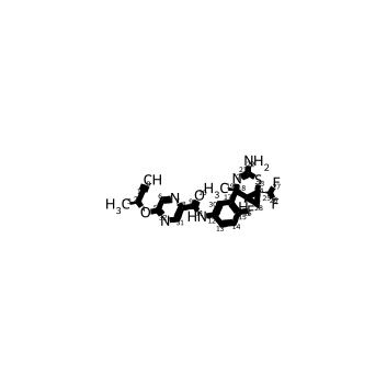 C#C[C@H](C)Oc1cnc(C(=O)Nc2ccc(F)c([C@]3(C)N=C(N)S[C@@]4(C(F)F)C[C@@H]34)c2)cn1